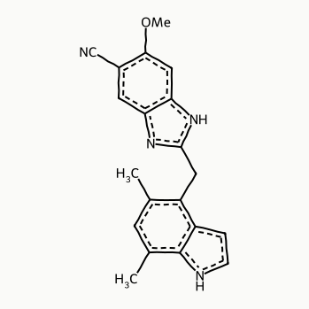 COc1cc2[nH]c(Cc3c(C)cc(C)c4[nH]ccc34)nc2cc1C#N